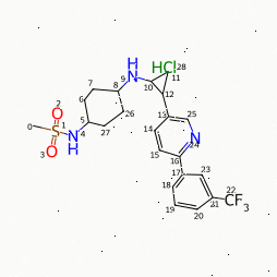 CS(=O)(=O)NC1CCC(NC2CC2c2ccc(-c3cccc(C(F)(F)F)c3)nc2)CC1.Cl